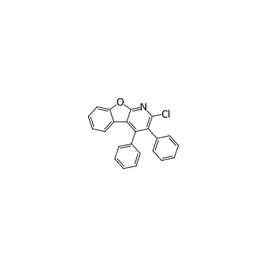 Clc1nc2oc3ccccc3c2c(-c2ccccc2)c1-c1ccccc1